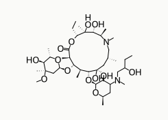 CCC(O)CN(C)C1C[C@@H](C)O[C@@H](O[C@@H]2[C@@H](C)[C@H](O[C@H]3C[C@@](C)(OC)[C@@H](O)[C@H](C)O3)[C@@H](C)C(=O)O[C@H](CC)[C@@](C)(O)[C@H](O)[C@@H](C)N(C)C[C@H](C)C[C@@]2(C)O)[C@@H]1O